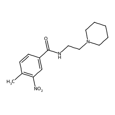 Cc1ccc(C(=O)NCCN2CCCCC2)cc1[N+](=O)[O-]